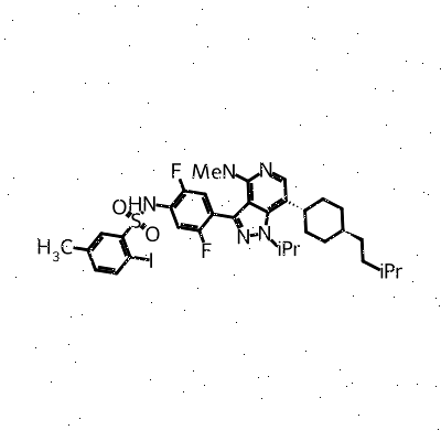 CNc1ncc([C@H]2CC[C@H](CCC(C)C)CC2)c2c1c(-c1cc(F)c(NS(=O)(=O)c3cc(C)ccc3I)cc1F)nn2C(C)C